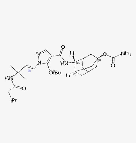 CC(C)COc1c(C(=O)N[C@@H]2C3CC4C[C@@H]2C[C@@](OC(N)=O)(C4)C3)cnn1/C=C/C(C)(C)NC(=O)CC(C)C